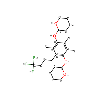 Cc1c(C)c(OC2CCCCO2)c(CCCC(F)(F)F)c(C)c1OC1CCCCO1